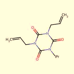 C=CCn1c(=O)n(CC=C)c(=O)n(C(C)C)c1=O